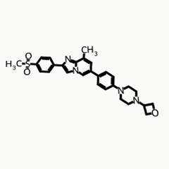 Cc1cc(-c2ccc(N3CCN(C4COC4)CC3)cc2)cn2cc(-c3ccc(S(C)(=O)=O)cc3)nc12